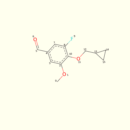 COc1cc(C=O)cc(F)c1OCC1CC1